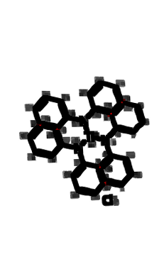 [Cl-].c1ccc([N](c2ccccc2)[Ti+]([N](c2ccccc2)c2ccccc2)[N](c2ccccc2)c2ccccc2)cc1